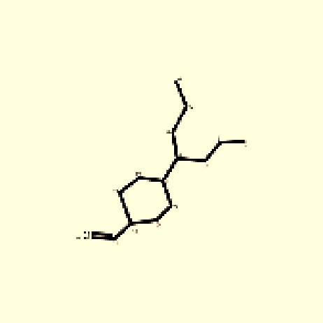 CCCC(CCC)C1CCC(C=O)CC1